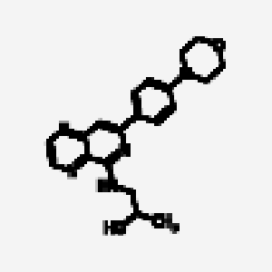 CC(O)CNc1nc(-c2ccc(N3CCOCC3)cc2)cc2nccnc12